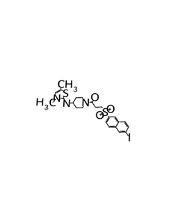 Cc1cn(C)/c(=N/C2CCN(C(=O)CCS(=O)(=O)c3ccc4cc(I)ccc4c3)CC2)s1